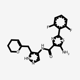 Nc1sc(-c2c(F)cccc2F)nc1C(=O)Nc1cn[nH]c1CC1=CCCCO1